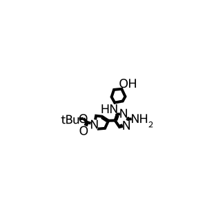 CC(C)(C)OC(=O)N1CC=C(c2cnc(N)nc2N[C@H]2CC[C@@H](O)CC2)CC1